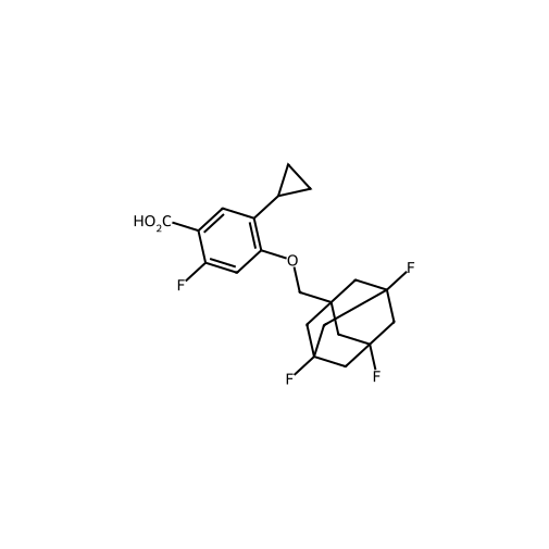 O=C(O)c1cc(C2CC2)c(OCC23CC4(F)CC(F)(CC(F)(C4)C2)C3)cc1F